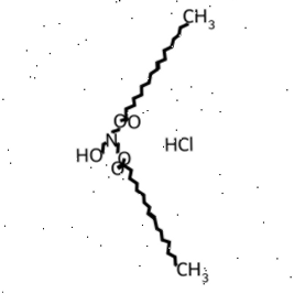 CCCCCCCCC=CCCCCCCCC(=O)OCCN(CCO)CCOC(=O)CCCCCCCC=CCCCCCCCC.Cl